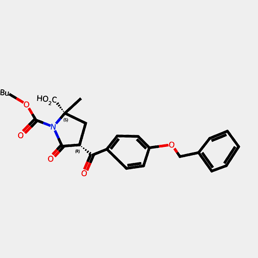 CC(C)(C)OC(=O)N1C(=O)[C@@H](C(=O)c2ccc(OCc3ccccc3)cc2)C[C@@]1(C)C(=O)O